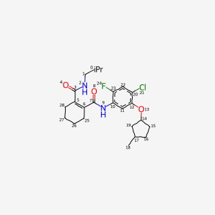 CC(C)CNC(=O)C1=C(C(=O)Nc2cc(OC3CCC(C)C3)c(Cl)cc2F)CCCC1